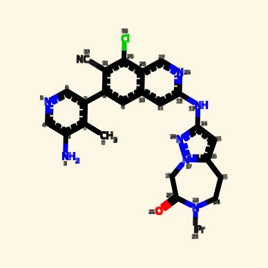 Cc1c(N)cncc1-c1cc2cc(Nc3cc4n(n3)CC(=O)N(C(C)C)CC4)ncc2c(Cl)c1C#N